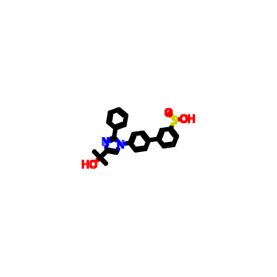 CC(C)(O)c1cn(-c2ccc(-c3cccc(S(=O)O)c3)cc2)c(-c2ccccc2)n1